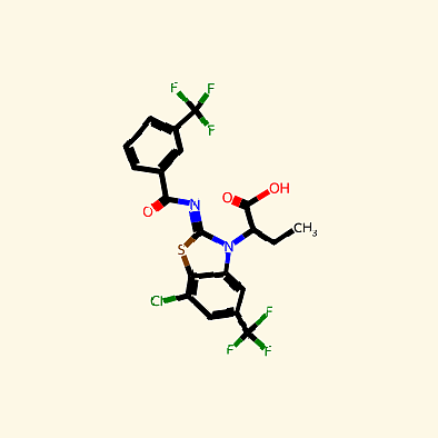 CCC(C(=O)O)n1c(=NC(=O)c2cccc(C(F)(F)F)c2)sc2c(Cl)cc(C(F)(F)F)cc21